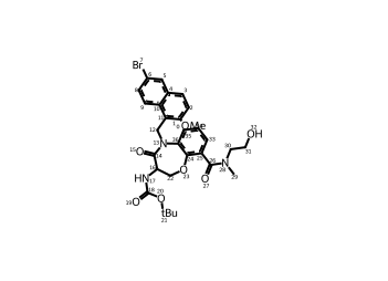 COc1ccc2cc(Br)ccc2c1CN1C(=O)C(NC(=O)OC(C)(C)C)COc2c(C(=O)N(C)CCO)cccc21